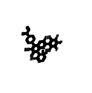 C=CC(=O)N1CCN(c2c(C#N)c(=O)n(C3C(C(C)C)=NC=CC3(C)C)c3nc(-c4c(O)c(F)c(F)c(F)c4Cl)c(Cl)cc23)CC1